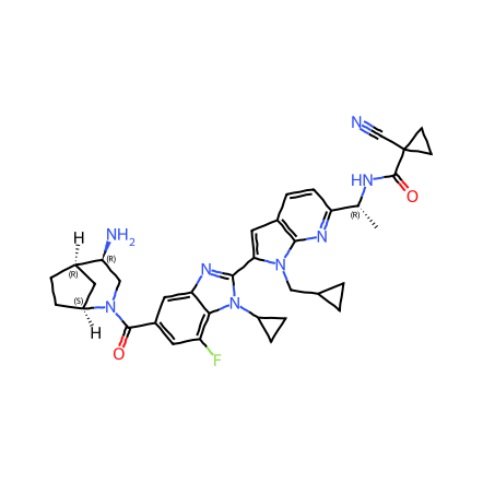 C[C@@H](NC(=O)C1(C#N)CC1)c1ccc2cc(-c3nc4cc(C(=O)N5C[C@H](N)[C@@H]6CC[C@H]5C6)cc(F)c4n3C3CC3)n(CC3CC3)c2n1